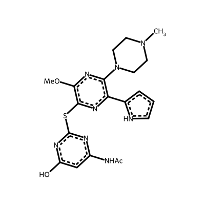 COc1nc(N2CCN(C)CC2)c(-c2ccc[nH]2)nc1Sc1nc(O)cc(NC(C)=O)n1